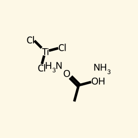 CC(=O)O.N.N.[Cl][Ti]([Cl])[Cl]